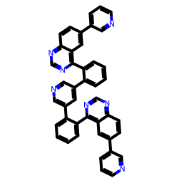 c1cncc(-c2ccc3ncnc(-c4ccccc4-c4cncc(-c5ccccc5-c5ncnc6ccc(-c7cccnc7)cc56)c4)c3c2)c1